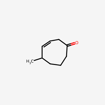 CC1/C=C\CC(=O)CCC1